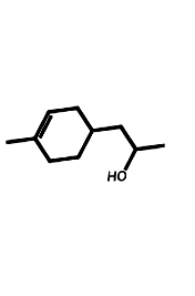 CC1=CCC(CC(C)O)CC1